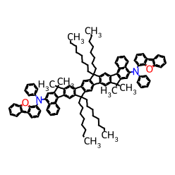 CCCCCCCCC1(CCCCCCCC)c2cc3c(cc2-c2cc4c(cc21)-c1cc2c(cc1C4(CCCCCCCC)CCCCCCCC)-c1c(cc(N(c4ccccc4)c4cccc5c4oc4ccccc45)c4ccccc14)C2(C)C)C(C)(C)c1cc(N(c2ccccc2)c2cccc4c2oc2ccccc24)c2ccccc2c1-3